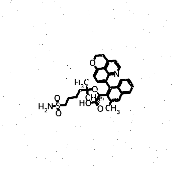 Cc1cc2ccccc2c(-c2ccc3c4c(ccnc24)CCO3)c1[C@H](OC(C)(C)CCCCS(N)(=O)=O)C(=O)O